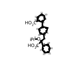 CC(C)OC(Cc1ccc(-c2ccccc2C(=O)O)cc1)(C(=O)O)c1ccccc1